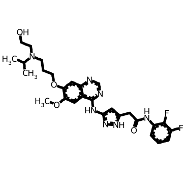 COc1cc2c(Nc3cc(CC(=O)Nc4cccc(F)c4F)[nH]n3)ncnc2cc1OCCCN(CCO)C(C)C